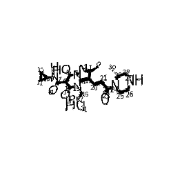 Cc1nn2c(O)c(C(=O)NC3CC3)c(=O)n(CC(C)C)c2c1/C=C/C(=O)N1CCNC[C@H]1C.Cl